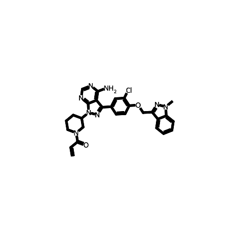 C=CC(=O)N1CCCC(n2nc(-c3ccc(OCc4nn(C)c5ccccc45)c(Cl)c3)c3c(N)ncnc32)C1